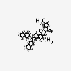 Cc1ccc2c(c1)C(=O)C(=Cc1cc3ccc(N(c4ccc5ccccc5c4)c4ccc5ccccc5c4)cc3cc1C)C2=O